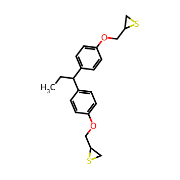 CCC(c1ccc(OCC2CS2)cc1)c1ccc(OCC2CS2)cc1